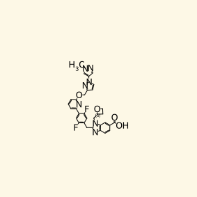 Cn1cc(-n2ccc(COc3cccc(-c4cc(F)c(Cc5nc6ccc(C(=O)O)cc6n5C[C@@H]5CCO5)cc4F)n3)n2)cn1